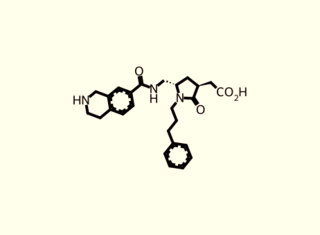 O=C(O)C[C@@H]1C[C@@H](CNC(=O)c2ccc3c(c2)CNCC3)N(CCCc2ccccc2)C1=O